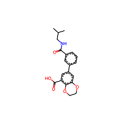 CC(C)CNC(=O)c1cccc(-c2cc3c(c(C(=O)O)c2)OCCO3)c1